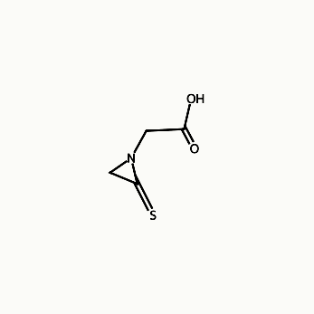 O=C(O)CN1CC1=S